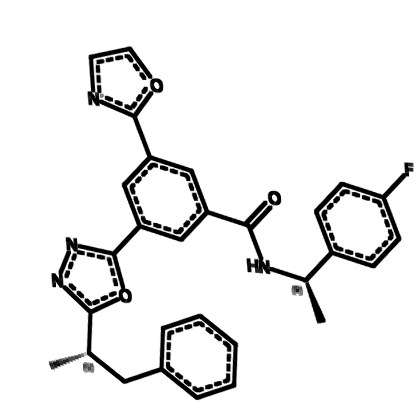 C[C@@H](Cc1ccccc1)c1nnc(-c2cc(C(=O)N[C@H](C)c3ccc(F)cc3)cc(-c3ncco3)c2)o1